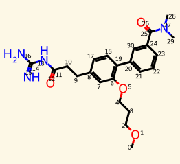 COCCCOc1cc(CCC(=O)NC(=N)N)ccc1-c1cccc(C(=O)N(C)C)c1